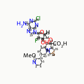 COc1ncccc1-c1ccc(C[C@@](OC2[C@H]3O[C@@H](n4cnc5c(N)nc(Cl)nc54)[C@@H](F)[C@@]23O)(C(=O)O)c2cscn2)cc1